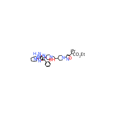 CCOC(=O)C(c1cc(N2CCC(CCN3CCC(c4cnc(N5C6CCC5CN(c5cc(-c7ccccc7O)nnc5N)C6)nc4)CC3)CC2)no1)C(C)C